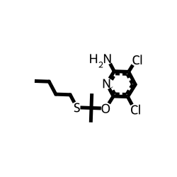 CCCCSC(C)(C)Oc1nc(N)c(Cl)cc1Cl